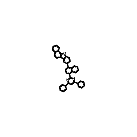 c1ccc(-c2cc(-c3ccccc3)nc(-c3ccc(-c4ccc5oc6c7ccccc7ccc6c5c4)c4ccccc34)n2)cc1